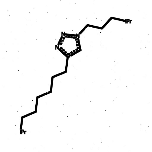 CC(C)CCCCCCc1cn(CCCC(C)C)nn1